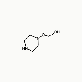 OOON1CCNCC1